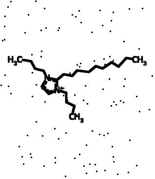 CCCCCCCCCCc1n(CCCC)cc[n+]1CCCC